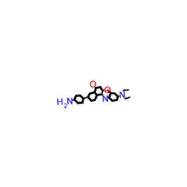 CCN(CC)c1ccc2nc3c4ccc(-c5ccc(N)cc5)cc4c(=O)cc-3oc2c1